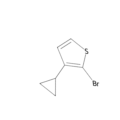 Brc1sccc1C1CC1